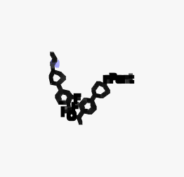 C/C=C/C1CCC(c2ccc(C(F)(F)OC(C)c3ccc(C4CCC(CCCCC)CC4)cc3)c(F)c2)CC1